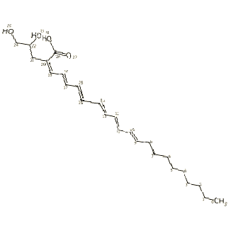 CCCCCCCCCC=CC=CC=CC=CC=CC=C(CC(O)CO)C(=O)O